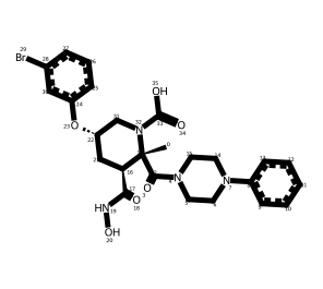 C[C@@]1(C(=O)N2CCN(c3ccccc3)CC2)[C@@H](C(=O)NO)C[C@H](Oc2cccc(Br)c2)CN1C(=O)O